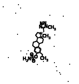 CCc1cc2c(cc1OS(N)(=O)=O)CCC1C2CC[C@@]2(C)C1CC[C@@H]2Cc1nnnn1C